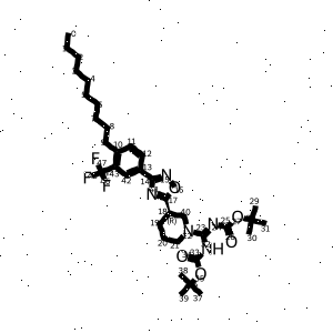 CCCCCCCCCCc1ccc(-c2noc([C@@H]3CCCN(C(=NC(=O)OC(C)(C)C)NC(=O)OC(C)(C)C)C3)n2)cc1C(F)(F)F